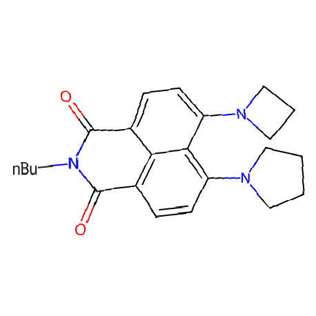 CCCCN1C(=O)c2ccc(N3CCCC3)c3c(N4CCC4)ccc(c23)C1=O